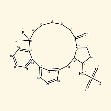 CS(=O)(=O)NC1CCN2C(=O)CCCCCC(F)(F)c3ccccc3-c3cccc(c3)CC12